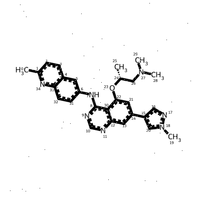 Cc1ccc2cc(Nc3ncnc4cc(-c5cnn(C)c5)cc(O[C@H](C)CN(C)C)c34)ccc2n1